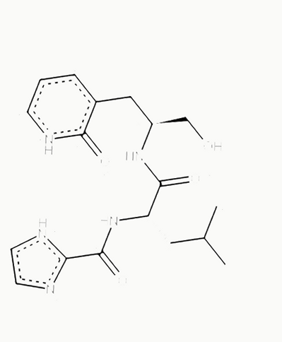 CC(C)C[C@H](NC(=O)c1ncc[nH]1)C(=O)N[C@H](CO)Cc1ccc[nH]c1=O